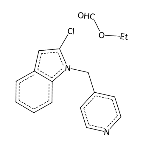 CCOC=O.Clc1cc2ccccc2n1Cc1ccncc1